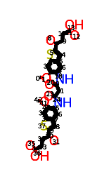 COc1cc2sc(C(=O)CCC(=O)O)cc2cc1NC(=O)CC(=O)Nc1cc2cc(C(=O)CCC(=O)O)sc2cc1OC